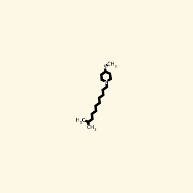 CSC1CCN(CCCCCCCCCC(C)C)CC1